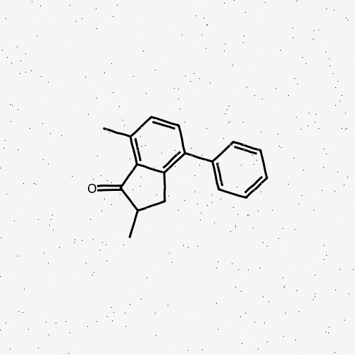 Cc1ccc(-c2ccccc2)c2c1C(=O)C(C)C2